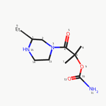 CCC1CN(C(=O)C(C)(C)OC(N)=O)CCN1